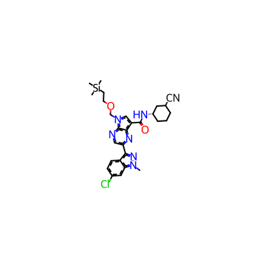 Cn1nc(-c2cnc3c(n2)c(C(=O)N[C@H]2CCCC(C#N)C2)cn3COCC[Si](C)(C)C)c2ccc(Cl)cc21